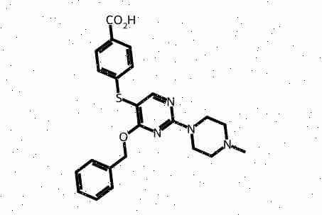 CN1CCN(c2ncc(Sc3ccc(C(=O)O)cc3)c(OCc3ccccc3)n2)CC1